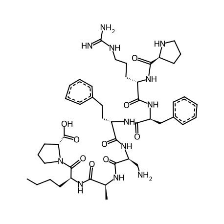 CCCC[C@H](NC(=O)[C@H](C)NC(=O)[C@H](CN)NC(=O)[C@H](CCc1ccccc1)NC(=O)[C@H](Cc1ccccc1)NC(=O)[C@H](CCCNC(=N)N)NC(=O)[C@@H]1CCCN1)C(=O)N1CCC[C@@H]1C(=O)O